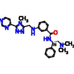 CN(C)C[C@@H](NC(=O)c1cccc(NCc2nnc(-c3ccncn3)n2C)c1)c1ccccc1